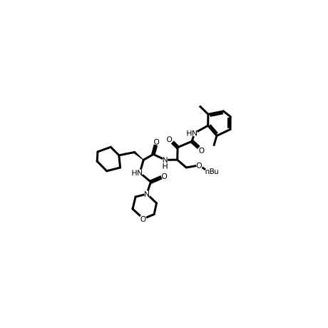 CCCCOCC(NC(=O)[C@H](CC1CCCCC1)NC(=O)N1CCOCC1)C(=O)C(=O)Nc1c(C)cccc1C